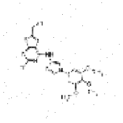 COc1cc(-n2cnc(Nc3nc(Cl)nc4sc(CCl)cc34)c2)cc(OC)c1OC